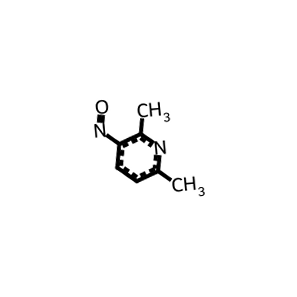 Cc1ccc(N=O)c(C)n1